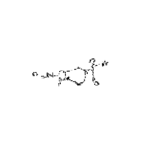 CC(C)S(=O)(=O)N1CCn2nc([N+](=O)[O-])cc2C1